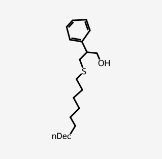 CCCCCCCCCCCCCCCCSCC(CO)c1ccccc1